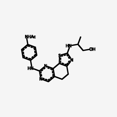 CC(=O)Nc1ccc(Nc2ncc3c(n2)-c2sc(NC(C)CO)nc2CC3)cc1